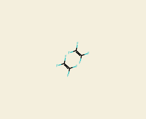 FC(F)=C(F)F.FC(F)=C(F)F